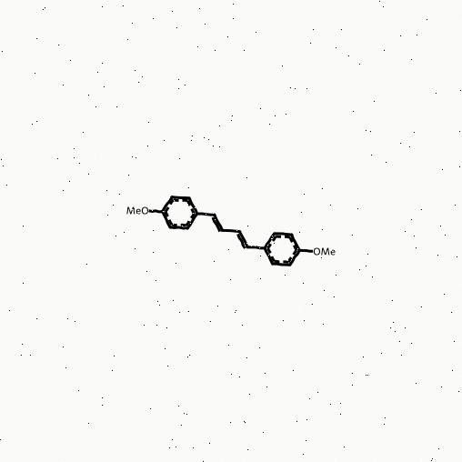 COc1ccc(/C=C/C=C/c2ccc(OC)cc2)cc1